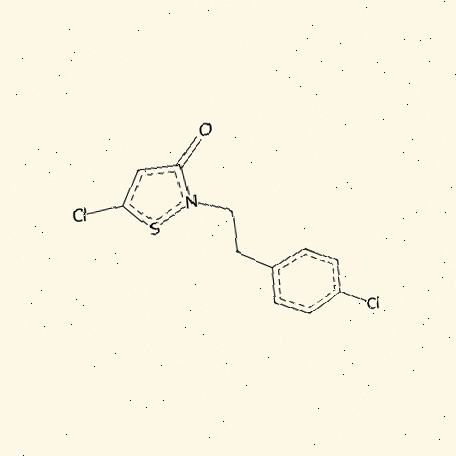 O=c1cc(Cl)sn1CCc1ccc(Cl)cc1